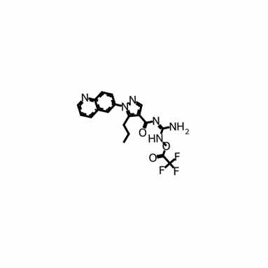 CCCc1c(C(=O)N=C(N)NOC(=O)C(F)(F)F)cnn1-c1ccc2ncccc2c1